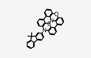 CC1(C)c2ccccc2-c2ccc(N3c4cccc5c4B4c6c(cccc63)-c3cccc6c3N4c3c(cccc3-5)O6)cc21